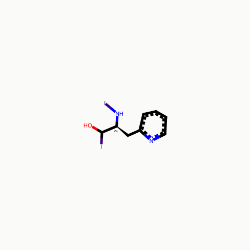 OC(I)[C@H](Cc1ccccn1)NI